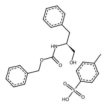 Cc1ccc(S(=O)(=O)O)cc1.O=C(N[C@H](CO)Cc1ccccc1)OCc1ccccc1